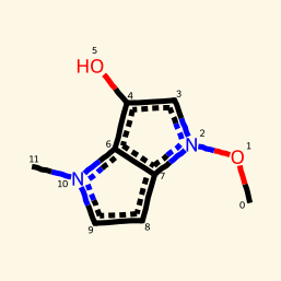 COn1cc(O)c2c1ccn2C